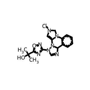 CC(C)(O)c1nc(N2C=NC3c4ccccc4N4CN(Cl)C=C4N32)no1